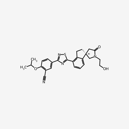 CC(C)Oc1ccc(-c2nsc(-c3cccc4c3CC[C@@]43CC(=O)N(CCO)C3)n2)cc1C#N